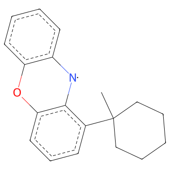 CC1(c2cccc3c2[N]c2ccccc2O3)CCCCC1